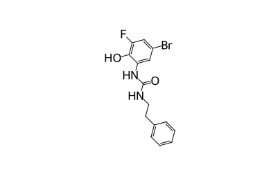 O=C(NCCc1ccccc1)Nc1cc(Br)cc(F)c1O